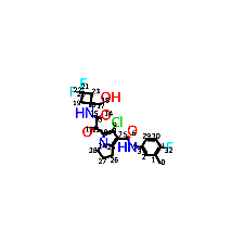 Cc1cc(NC(=O)c2c(Cl)c(C(=O)C(=O)NC3(CO)CC(F)(F)C3)n3c2CCC3)ccc1F